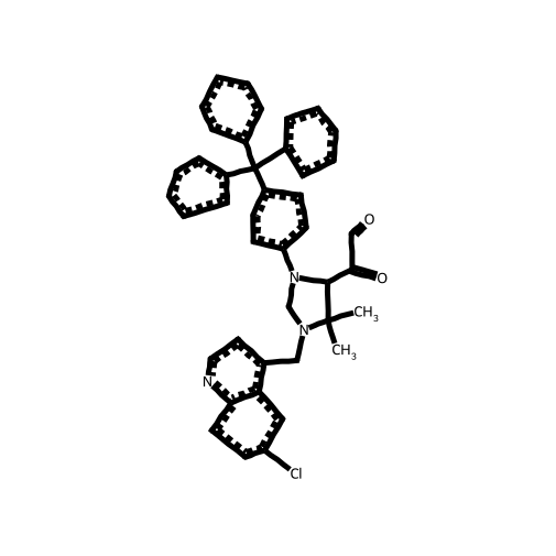 CC1(C)C(C(=O)C=O)N(c2ccc(C(c3ccccc3)(c3ccccc3)c3ccccc3)cc2)CN1Cc1ccnc2ccc(Cl)cc12